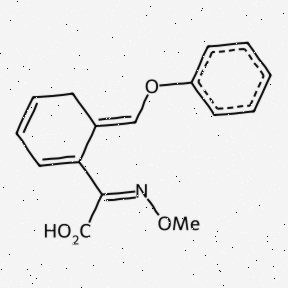 CON=C(C(=O)O)C1=CC=CCC1=COc1ccccc1